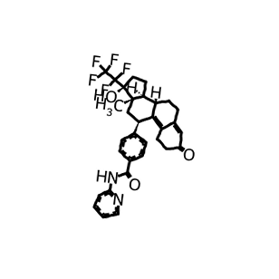 C[C@]12C[C@H](c3ccc(C(=O)Nc4ccccn4)cc3)C3=C4CCC(=O)C=C4CC[C@H]3[C@@H]1CC[C@@]2(O)C(F)(F)C(F)(F)F